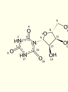 O=c1[nH]c(=O)n([C@@H]2O[C@H](CO)[C@@H](O)[C@H]2O)c(=O)[nH]1